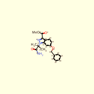 COC(=O)c1nn(C(C)(C)C(N)=O)c2cc(OCc3ccccc3)ccc12